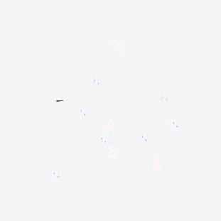 C[C@H]1CN(C2CCOC2)CCN1c1ccc(N)cc1[N+](=O)[O-].Cn1cc(Br)ncc1=O